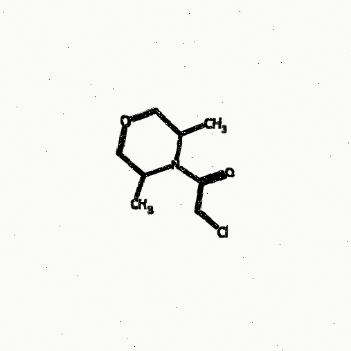 CC1COCC(C)N1C(=O)CCl